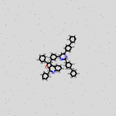 c1ccc(-c2ccc(-c3cc(-c4cccc(-c5c(-c6ccccc6)oc6c(-c7ccccc7)nc7ccccc7c56)c4)nc(-c4ccc(-c5ccccc5)cc4)n3)cc2)cc1